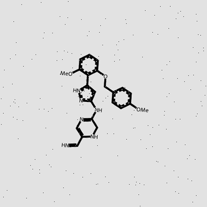 COc1ccc(COc2cccc(OC)c2-c2cc(NC3=NC=C(C=N)NC3)n[nH]2)cc1